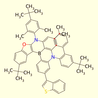 Cc1cc(C(C)(C)C)cc(C)c1N1c2cc(C(C)C)cc3c2B(c2ccc(-c4csc5ccccc45)cc2N3c2ccc(C(C)(C)C)cc2-c2ccccc2)c2c1oc1ccc(C(C)(C)C)cc21